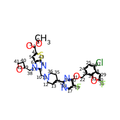 COC(=O)c1cc2c(nc(CN3CC=C(c4ncc(F)c(OCc5ccc(Cl)c6cc(F)oc56)n4)CC3)n2C[C@@H]2CCO2)s1